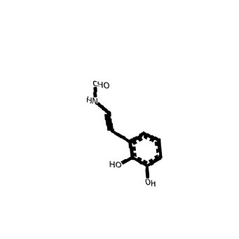 O=CNC=Cc1cccc(O)c1O